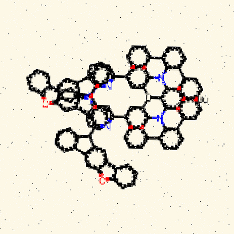 CC(C)(C)c1cc2c3c(c1)N(c1c(-c4ccccc4)cccc1-c1ccccc1)c1ccc(-c4cccc(-n5c6ccccc6c6cc7oc8ccccc8c7cc65)n4)cc1B3c1cc(-c3cc(C4c5ccccc5-c5ccccc54)cc(C4c5ccccc5-c5cc6oc7ccccc7c6cc54)n3)ccc1N2c1c(-c2ccccc2)cccc1-c1ccccc1